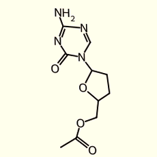 CC(=O)OCC1CCC(n2cnc(N)nc2=O)O1